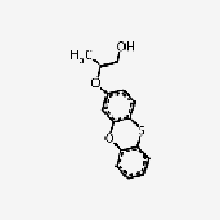 C[C@@H](CO)Oc1ccc2c(c1)Oc1ccccc1S2